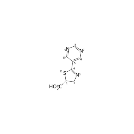 O=C(O)[C@H]1CN=C(c2cncnc2)S1